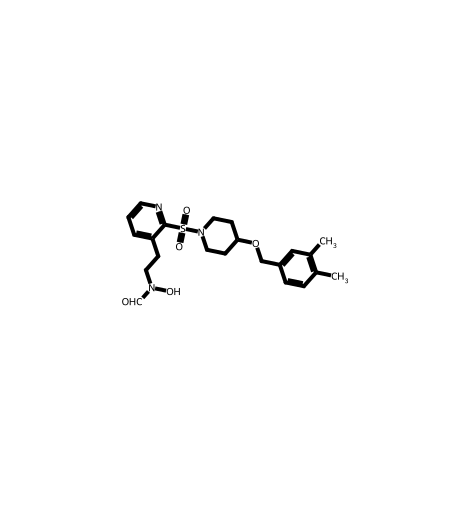 Cc1ccc(COC2CCN(S(=O)(=O)c3ncccc3CCN(O)C=O)CC2)cc1C